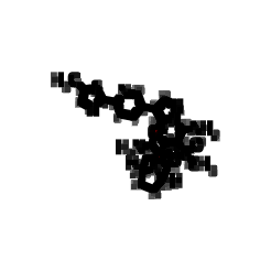 Cc1cnc(-c2ccc(-c3cnn4c(N)c(S(C)(=O)=O)c([C@H]5C[C@H]6CC[C@@H](C5)N6C(=O)C(N)C(F)(F)F)nc34)cn2)s1